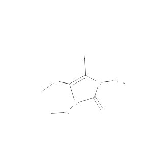 CNn1c(S)c(SC)n(NC)c1=S